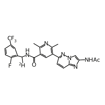 [2H]C(NC(=O)c1cc(-c2ccc3nc(NC(C)=O)cn3n2)c(C)nc1C)c1cc(C(F)(F)F)ccc1F